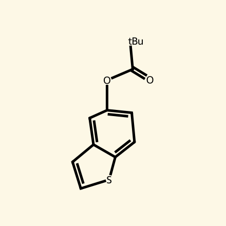 CC(C)(C)C(=O)Oc1ccc2sccc2c1